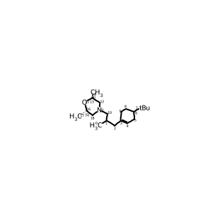 CC(CC1=CCC(C(C)(C)C)CC1)CN1C[C@@H](C)O[C@@H](C)C1